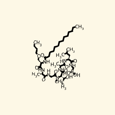 CCCCCCCCCCCCCC(=O)N[C@H](COCCCC)C(=O)N[C@H](C)C(=O)NCC(=O)N(C)[C@H](C(=O)N[C@@H](C)C(=O)N[C@@H](CC(C)C)C(=O)NCB(O)O)C(C)O